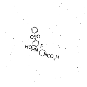 O=C(O)N1CCC(Nc2ccc(S(=O)(=O)c3ccccc3)cc2O)C(F)C1